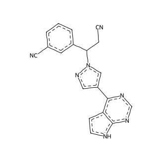 N#CCC(c1cccc(C#N)c1)n1cc(-c2ncnc3[nH]ccc23)cn1